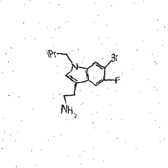 CC(C)Cn1cc(CCN)c2cc(F)c(Br)cc21